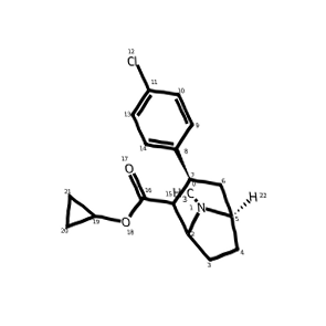 CN1C2CC[C@@H]1C[C@H](c1ccc(Cl)cc1)C2C(=O)OC1CC1